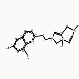 CN1C=CS2(C)CN(CCc3ccc4cc(F)cc(F)c4n3)C=C2C1